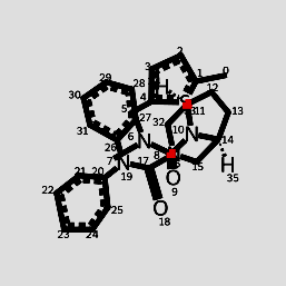 Cc1ccc(CN(C)C(=O)N2[C@@H]3CC[C@H]2CN(C(=O)N(c2ccccc2)c2ccccc2)C3)s1